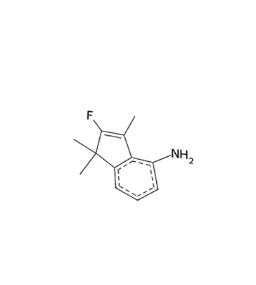 CC1=C(F)C(C)(C)c2cccc(N)c21